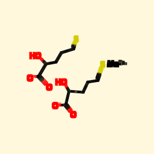 O=C([O-])C(O)CCC=S.O=C([O-])C(O)CCC=S.[Mn+2]